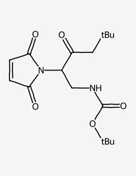 CC(C)(C)CC(=O)C(CNC(=O)OC(C)(C)C)N1C(=O)C=CC1=O